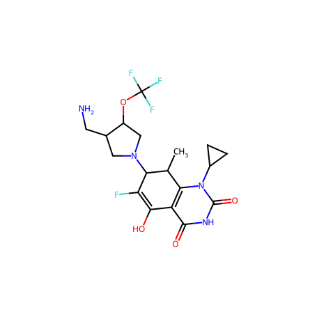 CC1c2c(c(=O)[nH]c(=O)n2C2CC2)C(O)=C(F)C1N1CC(CN)C(OC(F)(F)F)C1